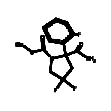 CC(C)(C)OC(=O)N1CC(F)(F)CC1(C(N)=O)c1ccccc1F